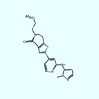 COCCN1Cc2sc(-c3ccnc(Nc4ccnn4C)c3)cc2C1=O